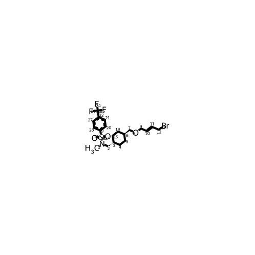 CN(C[C@H]1CC[C@H](COC/C=C/CBr)CC1)S(=O)(=O)c1ccc(C(F)(F)F)cc1